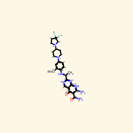 COc1cc(N2CCC(N3CCC(F)(F)C3)CC2)ccc1NC(C)c1ncc2c(=O)c(C(N)=O)c(N)[nH]c2n1